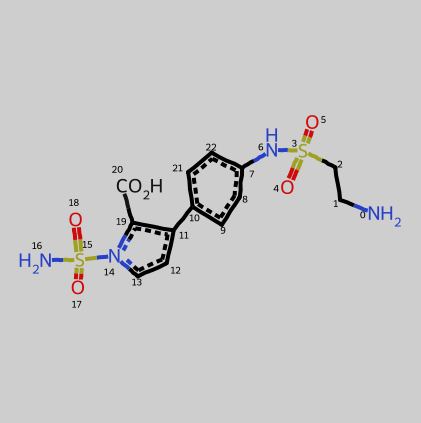 NCCS(=O)(=O)Nc1ccc(-c2ccn(S(N)(=O)=O)c2C(=O)O)cc1